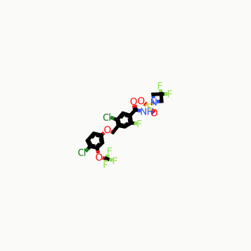 O=C(NS(=O)(=O)N1CC(F)(F)C1)c1cc(Cl)c(COc2ccc(Cl)c(OC(F)(F)F)c2)cc1F